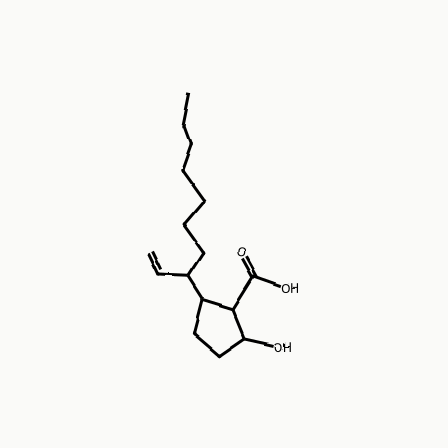 C=CC(CCCCCCC)C1CCC(O)C1C(=O)O